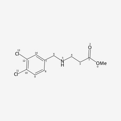 COC(=O)CCNCc1ccc(Cl)c(Cl)c1